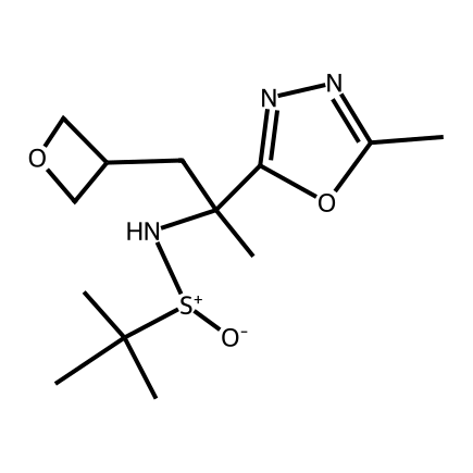 Cc1nnc(C(C)(CC2COC2)N[S+]([O-])C(C)(C)C)o1